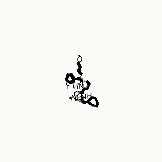 CNC[C@H](CC1CCCCC1)NC(=O)C1CCC[C@@H]([C@@H](CCCCOC)c2cccc(F)c2)N1